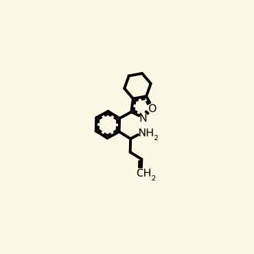 C=CCC(N)c1ccccc1-c1noc2c1CCCC2